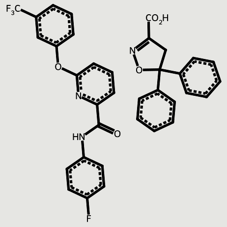 O=C(Nc1ccc(F)cc1)c1cccc(Oc2cccc(C(F)(F)F)c2)n1.O=C(O)C1=NOC(c2ccccc2)(c2ccccc2)C1